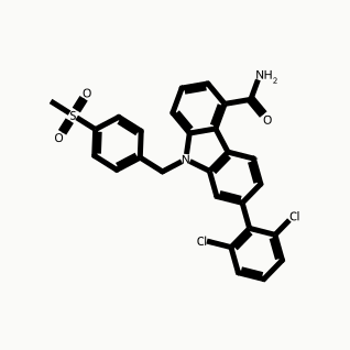 CS(=O)(=O)c1ccc(Cn2c3cc(-c4c(Cl)cccc4Cl)c[c]c3c3c(C(N)=O)cccc32)cc1